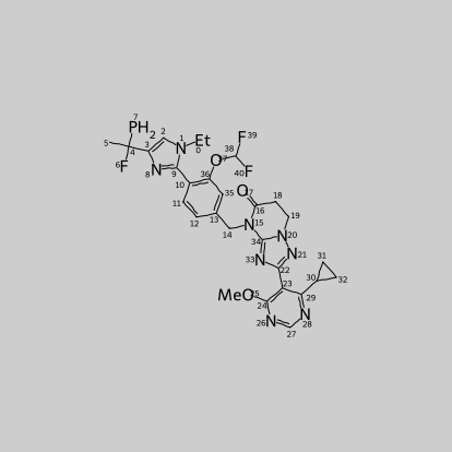 CCn1cc(C(C)(F)P)nc1-c1ccc(CN2C(=O)CCn3nc(-c4c(OC)ncnc4C4CC4)nc32)cc1OC(F)F